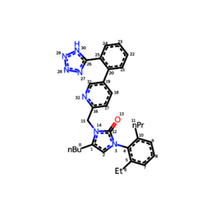 CCCCc1cn(-c2c(CC)cccc2CCC)c(=O)n1Cc1ccc(-c2ccccc2-c2nnn[nH]2)cn1